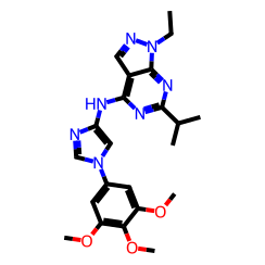 CCn1ncc2c(Nc3cn(-c4cc(OC)c(OC)c(OC)c4)cn3)nc(C(C)C)nc21